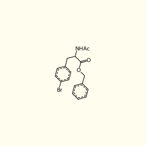 CC(=O)NC(Cc1ccc(Br)cc1)C(=O)OCc1ccccc1